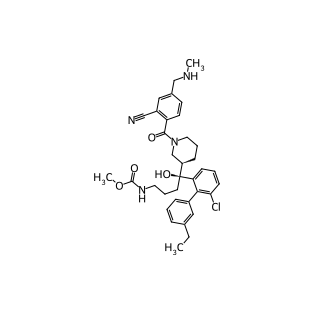 CCc1cccc(-c2c(Cl)cccc2[C@](O)(CCCNC(=O)OC)[C@@H]2CCCN(C(=O)c3ccc(CNC)cc3C#N)C2)c1